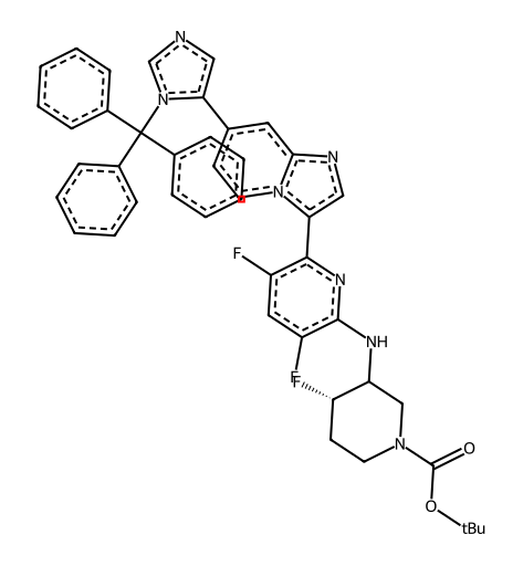 CC(C)(C)OC(=O)N1CC[C@H](F)C(Nc2nc(-c3cnc4cc(-c5cncn5C(c5ccccc5)(c5ccccc5)c5ccccc5)ccn34)c(F)cc2F)C1